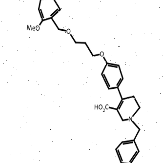 COc1ccccc1COCCCOc1ccc(C2=C(C(=O)O)CN(Cc3ccccc3)CC2)cc1